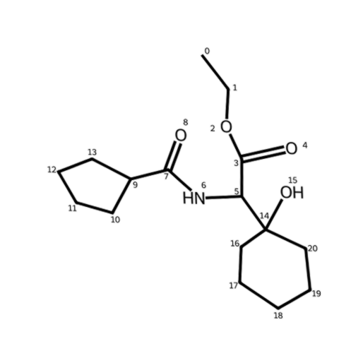 CCOC(=O)C(NC(=O)C1CCCC1)C1(O)CCCCC1